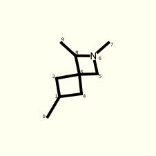 CC1CC2(C1)CN(C)C2C